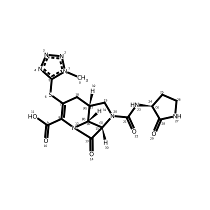 Cn1nnnc1SC1=C(C(=O)O)N2C(=O)[C@@H]3[C@H]2[C@H](C1)CN3C(=O)N[C@H]1CCNC1=O